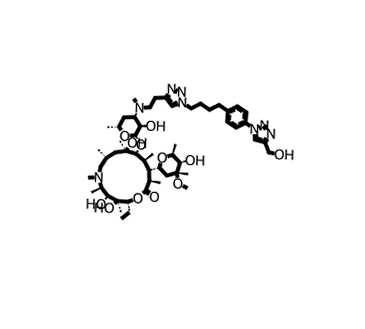 CC[C@H]1OC(=O)[C@H](C)C([C@H]2C[C@@](C)(OC)[C@@H](O)[C@H](C)O2)[C@H](C)[C@@H](O[C@@H]2O[C@H](C)C[C@H](N(C)CCc3cn(CCCCc4ccc(-n5cc(CO)nn5)cc4)nn3)[C@H]2O)[C@](C)(O)C[C@@H](C)CN(C)[C@H](C)[C@@H](O)[C@]1(C)O